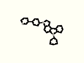 c1ccc(-n2c3ccccc3c3c4ccn(-c5ccc(-c6cccnc6)cc5)c4ccc32)cc1